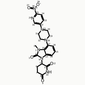 Cn1c(=O)n(C2CCC(=O)NC2=O)c2cccc(N3CCN(c4ccc([N+](=O)[O-])nc4)CC3)c21